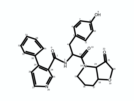 O=C(NC(Cc1ccc(O)cc1)C(=O)N1CCCC2OCC(=O)C21)c1cnccc1-c1ccccc1